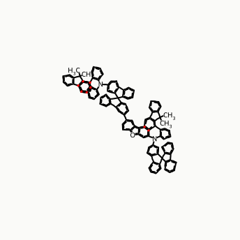 CC1(C)c2ccccc2-c2cccc(-c3ccccc3N(c3ccc4c(c3)C3(c5ccccc5-c5ccccc53)c3ccccc3-4)c3ccc4c(c3)oc3ccc(-c5ccc6c(c5)-c5ccccc5C65c6ccccc6-c6ccc(N(c7ccccc7-c7cccc8c7C(C)(C)c7ccccc7-8)c7cccc8ccccc78)cc65)cc34)c21